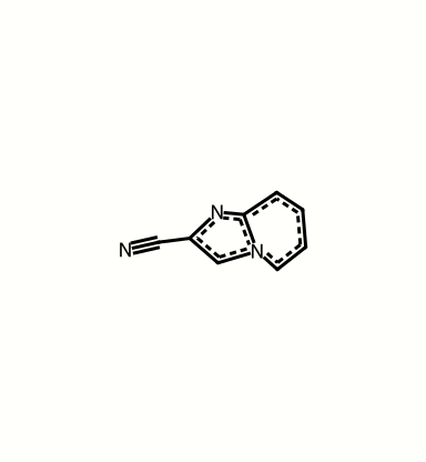 N#Cc1cn2ccccc2n1